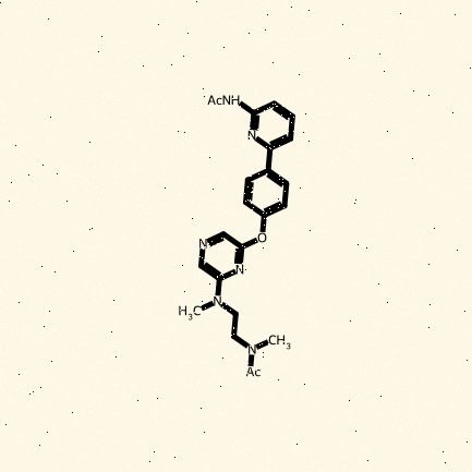 CC(=O)Nc1cccc(-c2ccc(Oc3cncc(N(C)CCN(C)C(C)=O)n3)cc2)n1